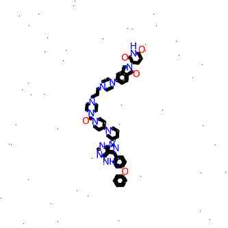 Nc1ncnc2c1c(-c1ccc(Oc3ccccc3)cc1)nn2[C@@H]1CCCN(C2CCN(C(=O)N3CCN(CCCN4CCN(c5ccc6c(c5)CN(C5CCC(=O)NC5=O)C6=O)CC4)CC3)CC2)C1